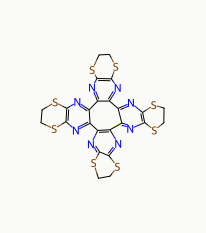 C1CSc2nc3c(nc2S1)-c1nc2c(nc1-c1nc4c(nc1-c1nc5c(nc1-3)SCCS5)SCCS4)SCCS2